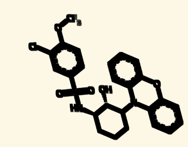 O=S(=O)(N[C@@H]1CCCC(N2c3ccccc3Oc3ccccc32)[C@H]1O)c1ccc(OC(F)(F)F)c(Cl)c1